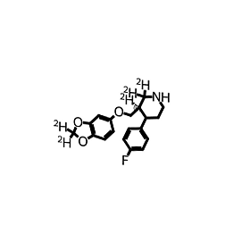 [2H]C1([2H])Oc2ccc(OC[C@]3([2H])C(c4ccc(F)cc4)CCNC3([2H])[2H])cc2O1